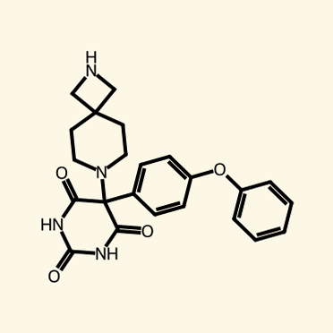 O=C1NC(=O)C(c2ccc(Oc3ccccc3)cc2)(N2CCC3(CC2)CNC3)C(=O)N1